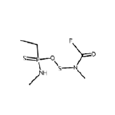 CCP(=S)(NC)OSN(C)C(=O)F